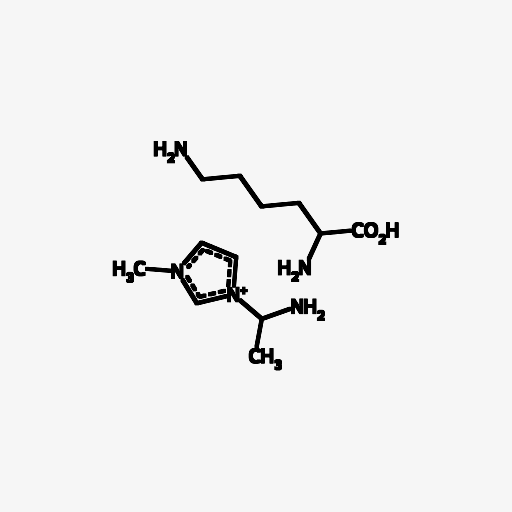 CC(N)[n+]1ccn(C)c1.NCCCCC(N)C(=O)O